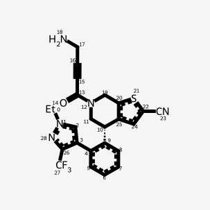 CCn1cc(-c2ccccc2[C@@H]2CN(C(=O)C#CCN)Cc3sc(C#N)cc32)c(C(F)(F)F)n1